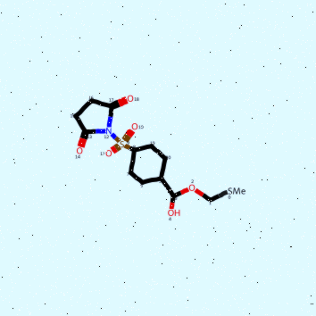 CSCOC(O)C1CCC(S(=O)(=O)N2C(=O)CCC2=O)CC1